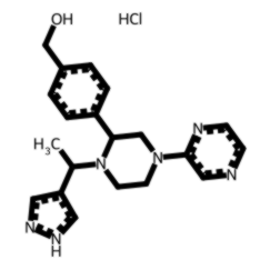 CC(c1cn[nH]c1)N1CCN(c2cnccn2)CC1c1ccc(CO)cc1.Cl